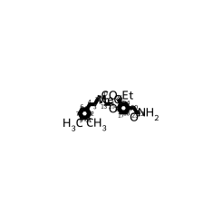 CCOC(=O)N(CCCc1ccc(C)c(C)c1)CCOc1ccc(CC(N)=O)cc1OC